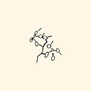 CCC(OP(=O)(OC)OC)C(COC)OP(=O)(OC)OC